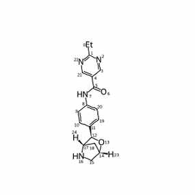 CCc1ncc(C(=O)Nc2ccc([C@H]3O[C@@H]4CN[C@H]3C4)cc2)cn1